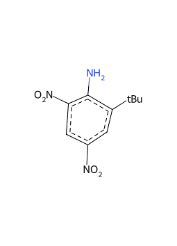 CC(C)(C)c1cc([N+](=O)[O-])cc([N+](=O)[O-])c1N